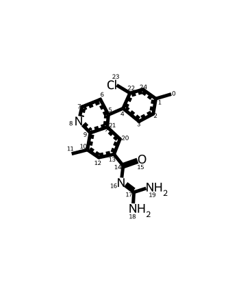 Cc1ccc(-c2ccnc3c(C)cc(C(=O)N=C(N)N)cc23)c(Cl)c1